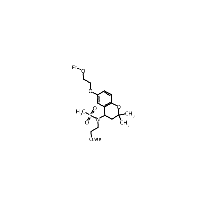 CCOCCOc1ccc2c(c1)C(N(CCOC)S(C)(=O)=O)CC(C)(C)O2